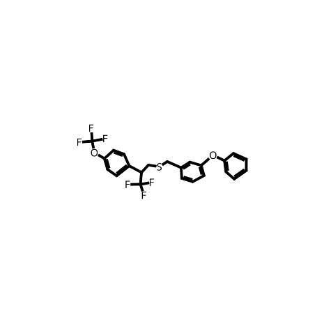 FC(F)(F)Oc1ccc(C(CSCc2cccc(Oc3ccccc3)c2)C(F)(F)F)cc1